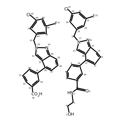 O=C(NCCO)c1cccc(-c2cccc3nn(Cc4cc(F)cc(Cl)c4)cc23)c1.O=C(O)c1cccc(-c2cccc3nn(Cc4cc(F)cc(Cl)c4)cc23)c1